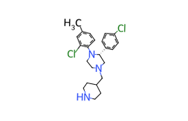 Cc1ccc(N2CCN(CC3CCNCC3)C[C@H]2c2ccc(Cl)cc2)c(Cl)c1